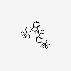 CN(C)S(=O)(=O)c1cccc(C(=O)N2CC3(CCCC(S(C)(=O)=O)C3)c3ccccc32)c1